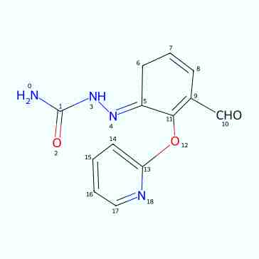 NC(=O)NN=C1CC=CC(C=O)=C1Oc1ccccn1